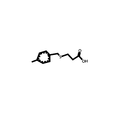 Cc1ccc(CSCCC(=O)O)cc1